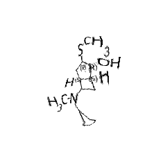 CS[C@@H]1C[C@@H]2C(N(C)C3CC3)C[C@@H]2[C@H]1O